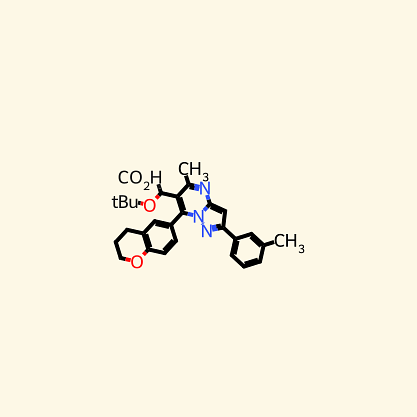 Cc1cccc(-c2cc3nc(C)c(C(OC(C)(C)C)C(=O)O)c(-c4ccc5c(c4)CCCO5)n3n2)c1